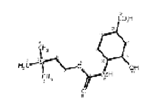 C[Si](C)(C)CCOC(=O)[AsH]C1CCC(C(=O)O)CC1O